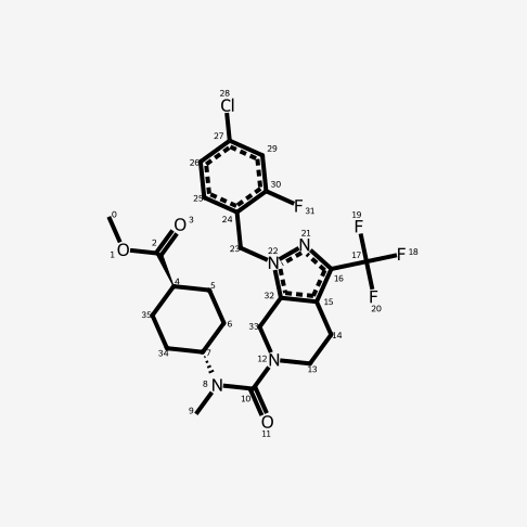 COC(=O)[C@H]1CC[C@H](N(C)C(=O)N2CCc3c(C(F)(F)F)nn(Cc4ccc(Cl)cc4F)c3C2)CC1